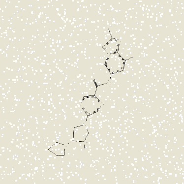 Cc1cn2cc(NC(=O)c3cnc(N4C[C@@H](F)[C@@H](N5CCCC5)C4)cn3)cc(F)c2n1